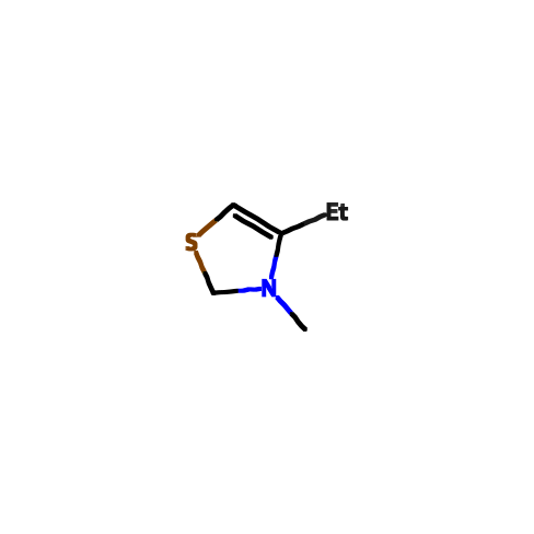 [CH2]CC1=CSCN1C